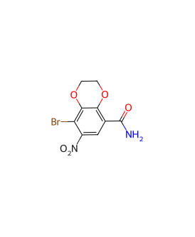 NC(=O)c1cc([N+](=O)[O-])c(Br)c2c1OCCO2